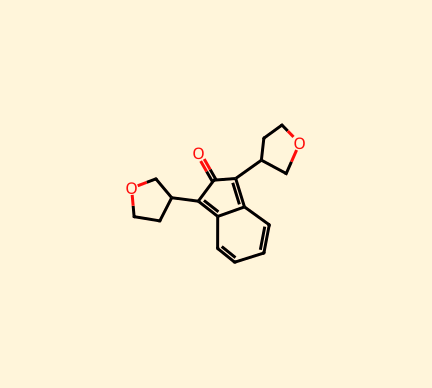 O=C1C(C2CCOC2)=c2ccccc2=C1C1CCOC1